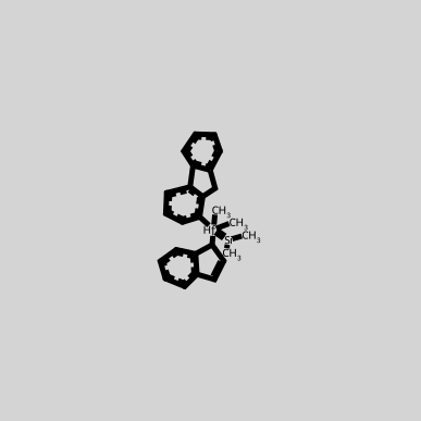 C[Si](C)=[Hf]([CH3])([CH3])([c]1cccc2c1Cc1ccccc1-2)[CH]1C=Cc2ccccc21